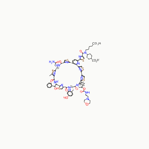 Cc1sc2nc1C(=O)N[C@@H]([C@H](O)c1ccccc1)c1nc(cs1)C(=O)N[C@@H](Cc1ccc(O)cc1)C(=O)N1C[C@H](OC(=O)NCCN3CCOCC3)[C@H](C)[C@H]1c1nc(cs1)-c1nc(cs1)-c1nc(-c3nc(C(=O)N(CCCCC(=O)O)C4CCC(C(=O)O)CC4)cs3)ccc1-c1nc(cs1)C(=O)N[C@H]2CC(N)=O